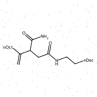 C=C(CCCCCCCC)C(CC(=O)NCCCCCCCCCCCC)C(N)=O